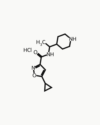 CC(NC(=O)c1cc(C2CC2)on1)C1CCNCC1.Cl